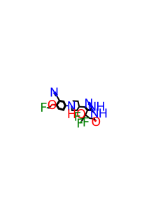 N#Cc1cc(N2CCC(c3n[nH]c4c3C(O)(C(F)(F)F)CC(=O)N4)CC2)ccc1OCF